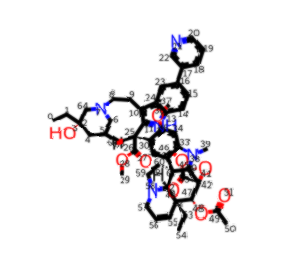 CC[C@]1(O)C[C@H]2CN(CCc3c([nH]c4ccc(-c5cccnc5)cc34)[C@@](C(=O)OC)(c3cc4c(cc3OC)N(C)[C@@]35O[C@]3(C(=O)OC)[C@H](OC(C)=O)[C@]3(CC)C=CCN6CC[C@]45[C@@H]63)C2)C1